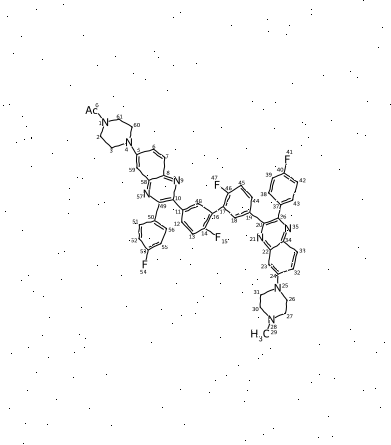 CC(=O)N1CCN(c2ccc3nc(-c4ccc(F)c(-c5cc(-c6nc7cc(N8CCN(C)CC8)ccc7nc6-c6ccc(F)cc6)ccc5F)c4)c(-c4ccc(F)cc4)nc3c2)CC1